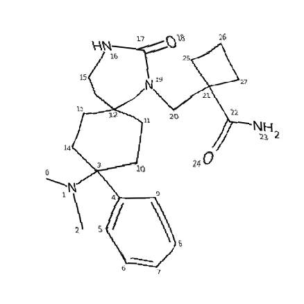 CN(C)C1(c2ccccc2)CCC2(CC1)CNC(=O)N2CC1(C(N)=O)CCC1